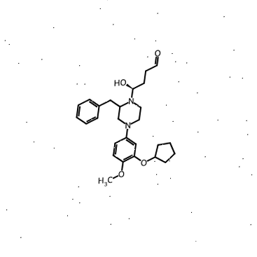 COc1ccc(N2CCN([C@@H](O)CCC=O)C(Cc3ccccc3)C2)cc1OC1CCCC1